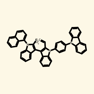 C=Cc1c(-c2c(C)n(-c3cccc4ccccc34)c3ccccc23)c2ccccc2n1-c1ccc(-n2c3ccccc3c3ccccc32)cc1